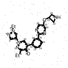 CCc1nn(-c2cnn(CC)c2)cc(-c2cccc(-c3ncc(OC4CNC4)cn3)c2)c1=O